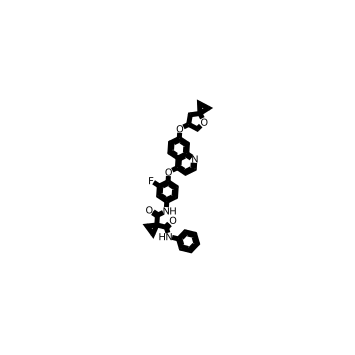 O=C(Nc1ccccc1)C1(C(=O)Nc2ccc(Oc3ccnc4cc(OC5COC6(CC6)C5)ccc34)c(F)c2)CC1